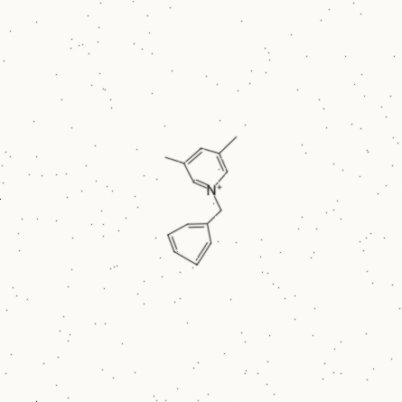 Cc1cc(C)c[n+](Cc2ccccc2)c1